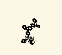 C1=Cc2c(n(-c3ccccc3)c3ccc(C4=CC=C5C(C4)c4ccccc4N5c4ccc(C5N=C(c6ccccc6)NC(c6cccnc6)N5)cc4)cc23)CC1